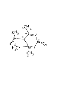 CC(=O)C1C(C)=CC(=O)CC1(C)C